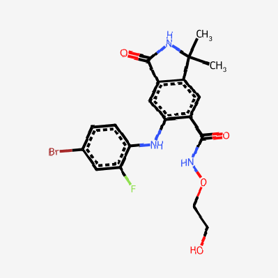 CC1(C)NC(=O)c2cc(Nc3ccc(Br)cc3F)c(C(=O)NOCCO)cc21